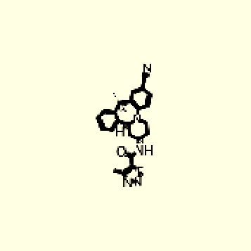 Cc1nnsc1C(=O)N[C@H]1CCN2c3ccc(C#N)cc3[C@@H](C)c3ccccc3[C@@H]2C1